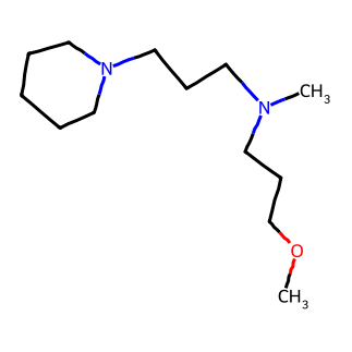 COCCCN(C)CCCN1CCCCC1